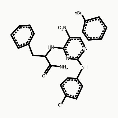 CCCCc1ccccc1.NC(=O)C(Cc1ccccc1)Nc1nc(Nc2ccc(Cl)cc2)ncc1[N+](=O)[O-]